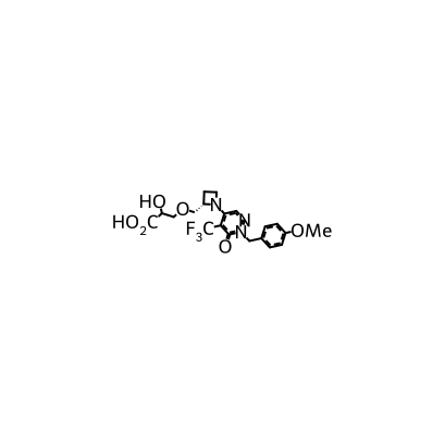 COc1ccc(Cn2ncc(N3CC[C@H]3COCC(O)C(=O)O)c(C(F)(F)F)c2=O)cc1